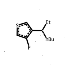 CCCCC(CC)c1cscc1F